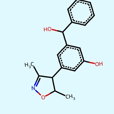 CC1=NOC(C)C1c1cc(O)cc(C(O)c2ccccc2)c1